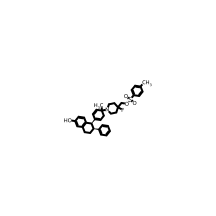 Cc1ccc(S(=O)(=O)OCC2(F)CCN(C3(C)C=CC([C@@H]4c5ccc(O)cc5CC[C@@H]4c4ccccc4)=CC3)CC2)cc1